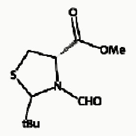 COC(=O)[C@H]1CSC(C(C)(C)C)N1C=O